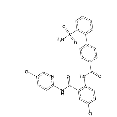 NS(=O)(=O)c1ccccc1-c1ccc(C(=O)Nc2ccc(Cl)cc2C(=O)Nc2ccc(Cl)cn2)cc1